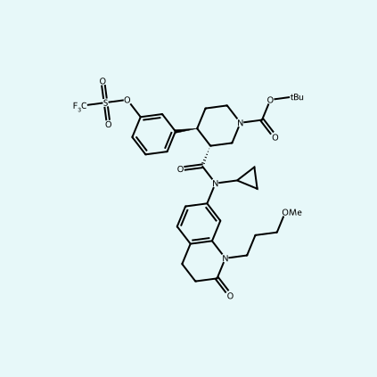 COCCCN1C(=O)CCc2ccc(N(C(=O)[C@H]3CN(C(=O)OC(C)(C)C)CC[C@@H]3c3cccc(OS(=O)(=O)C(F)(F)F)c3)C3CC3)cc21